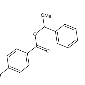 COC(OC(=O)c1ccc(O)cc1)c1ccccc1